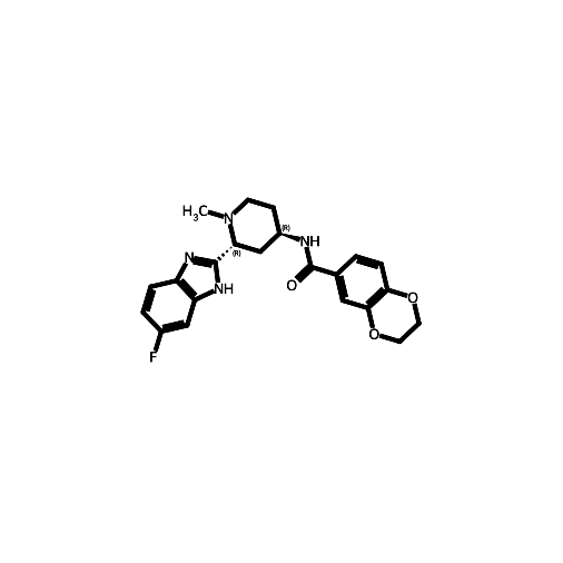 CN1CC[C@@H](NC(=O)c2ccc3c(c2)OCCO3)C[C@@H]1c1nc2ccc(F)cc2[nH]1